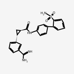 N=C(N)c1cccc([C@@H]2C[C@H]2C(=O)Nc2ccc(-c3ccccc3S(N)(=O)=O)cc2)c1